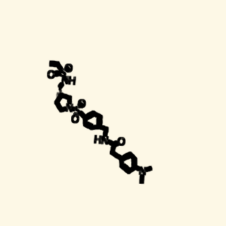 C=CS(=O)(=O)NC[C@H]1CCN(S(=O)(=O)c2ccc(CNC(=O)Cc3ccc(N(C)C)cc3)cc2)C1